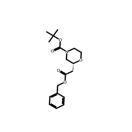 CC(C)(C)OC(=O)N1CCO[C@H](CC(=O)OCc2ccccc2)C1